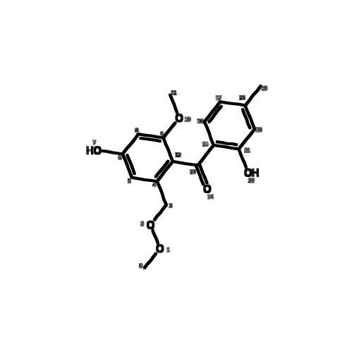 COOCc1cc(O)cc(OC)c1C(=O)c1ccc(C)cc1O